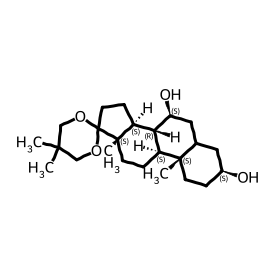 CC1(C)COC2(CC[C@H]3[C@@H]4[C@@H](O)CC5C[C@@H](O)CC[C@]5(C)[C@H]4CC[C@@]32C)OC1